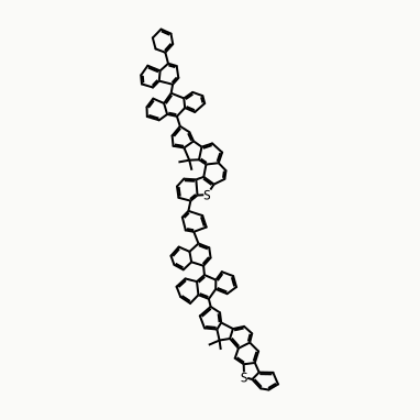 CC1(C)c2ccc(-c3c4ccccc4c(C4=CC=C(c5ccc(-c6cccc7c6sc6ccc8ccc9c(c8c67)C(C)(C)c6ccc(-c7c8ccccc8c(-c8ccc(C%10=CC=CCC%10)c%10ccccc8%10)c8ccccc78)cc6-9)cc5)C5C=CC=CC45)c4ccccc34)cc2-c2ccc3cc4c(cc3c21)sc1ccccc14